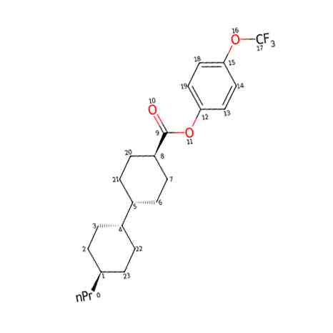 CCC[C@H]1CC[C@H]([C@H]2CC[C@H](C(=O)Oc3ccc(OC(F)(F)F)cc3)CC2)CC1